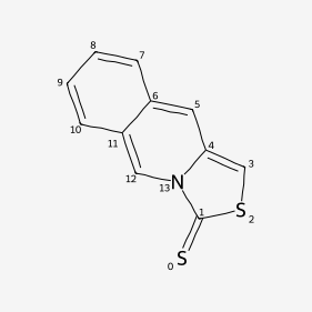 S=c1scc2cc3ccccc3cn12